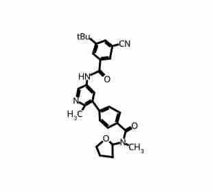 Cc1ncc(NC(=O)c2cc(C#N)cc(C(C)(C)C)c2)cc1-c1ccc(C(=O)N(C)C2CCCO2)cc1